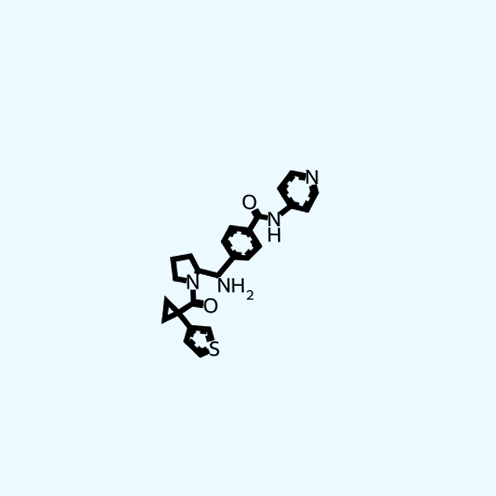 NC(c1ccc(C(=O)Nc2ccncc2)cc1)C1CCCN1C(=O)C1(c2ccsc2)CC1